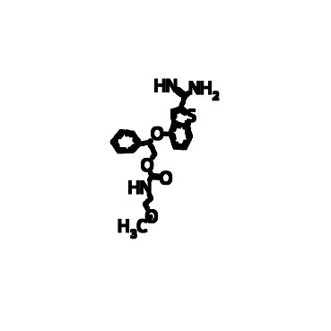 COCCNC(=O)OCC(Oc1cccc2sc(C(=N)N)cc12)c1ccccc1